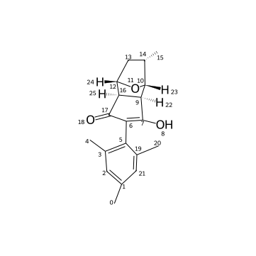 Cc1cc(C)c(C2=C(O)[C@@H]3[C@@H]4O[C@@H](C[C@@H]4C)[C@@H]3C2=O)c(C)c1